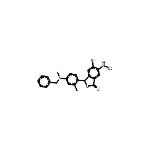 CCNc1cc2c(cc1Br)C(c1ccc(N(C)Cc3ccccc3)cc1C)OC2=O